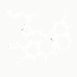 CC/C=C/[C@H](O)[C@@H]1CC[C@H]1CN1C[C@@]2(CCCc3cc(Cl)ccc32)COc2cc(F)c(C(=O)O)cc21